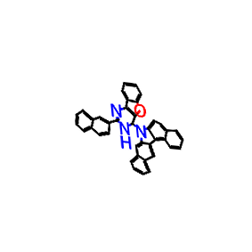 c1ccc2cc(C3=Nc4c(oc5ccccc45)C(n4c5cc6ccccc6cc5c5c6ccccc6ccc54)N3)ccc2c1